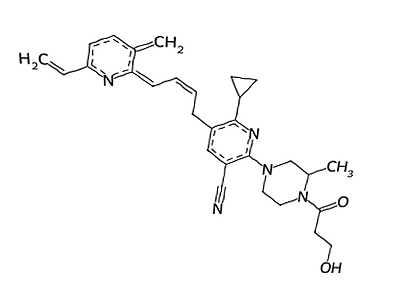 C=Cc1ccc(=C)/c(=C\C=C/Cc2cc(C#N)c(N3CCN(C(=O)CCO)C(C)C3)nc2C2CC2)n1